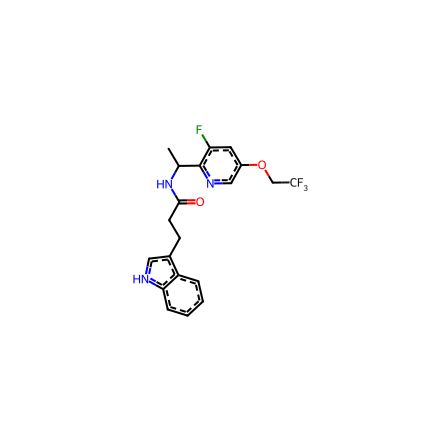 CC(NC(=O)CCc1c[nH]c2ccccc12)c1ncc(OCC(F)(F)F)cc1F